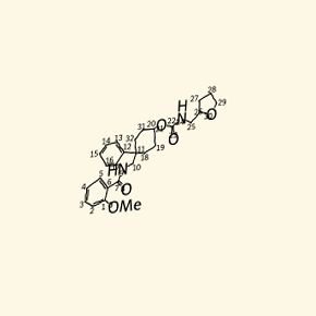 COc1ccccc1C(=O)NCC1(c2ccccc2)CCC(OC(=O)NCC2CCCO2)CC1